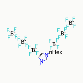 CCCCCCN1C=CN(C)C1.F[B-](F)(F)F.F[B-](F)(F)F.F[B-](F)(F)F.F[B-](F)(F)F.F[B-](F)(F)F.F[B-](F)(F)F